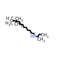 CCC(C)NCCCCCCC/C=C/C(C)(C)C(C)C